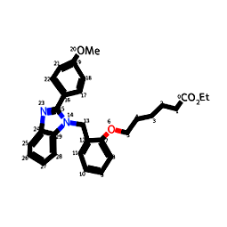 CCOC(=O)CCCCCOc1ccccc1Cn1c(-c2ccc(OC)cc2)nc2ccccc21